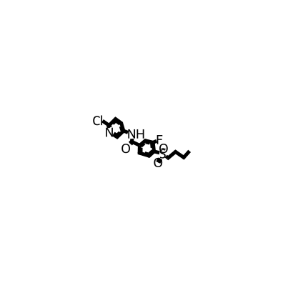 CCCCS(=O)(=O)c1ccc(C(=O)Nc2ccc(Cl)nc2)cc1F